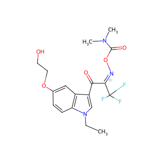 CCn1cc(C(=O)/C(=N\OC(=O)N(C)C)C(F)(F)F)c2cc(OCCO)ccc21